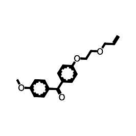 C=CCOCCOc1ccc(C(=O)c2ccc(OC)cc2)cc1